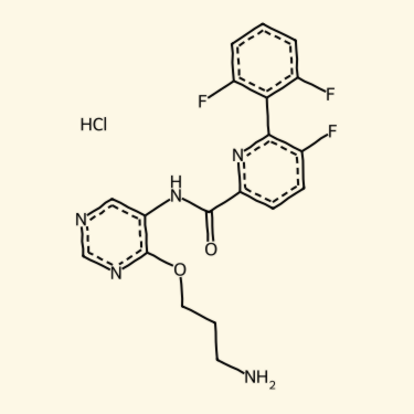 Cl.NCCCOc1ncncc1NC(=O)c1ccc(F)c(-c2c(F)cccc2F)n1